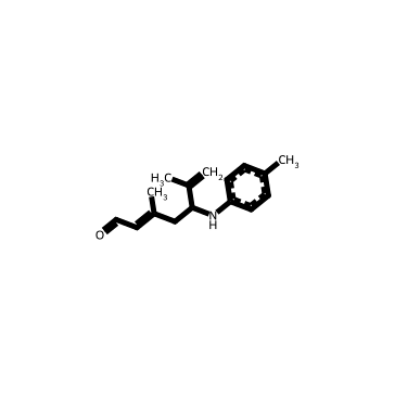 C=C(C)C(C/C(C)=C/C=O)Nc1ccc(C)cc1